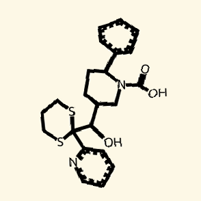 O=C(O)N1CC(C(O)C2(c3ccccn3)SCCCS2)CCC1c1ccccc1